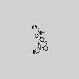 CC(C)CCNC(=O)c1ccc2c(c1)N=C(N1CCNCC1)c1ccccc1S2